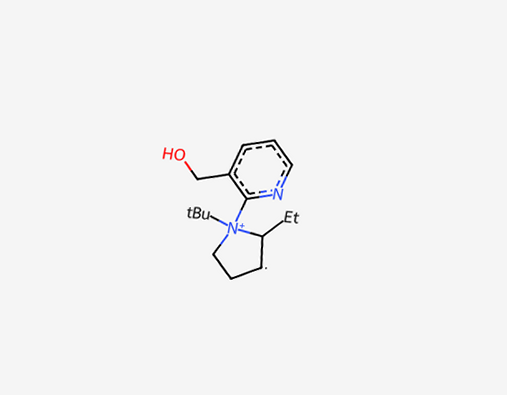 CCC1[CH]CC[N+]1(c1ncccc1CO)C(C)(C)C